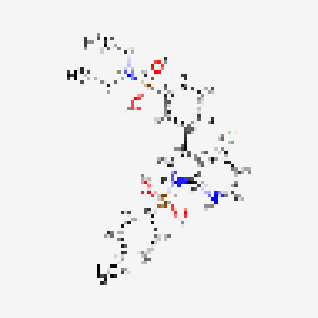 CCN(CC)S(=O)(=O)c1cccc(-c2cn(S(=O)(=O)c3ccc(C)cc3)c3nccc(Cl)c23)c1